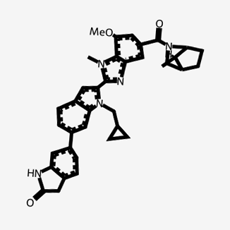 COc1cc(C(=O)N2CC3CCC2[C@@H]3C)cc2nc(-c3cc4ccc(-c5ccc6c(c5)NC(=O)C6)cc4n3CC3CC3)n(C)c12